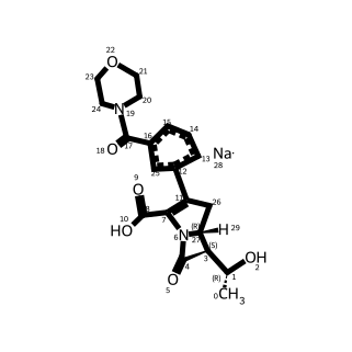 C[C@@H](O)[C@H]1C(=O)N2C(C(=O)O)=C(c3cccc(C(=O)N4CCOCC4)c3)C[C@H]12.[Na]